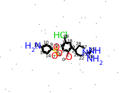 COc1c(OS(=O)(=O)c2ccc(N)cc2)cc(C)cc1C1CCN(C(=N)N)CC1.Cl